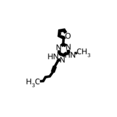 CCCCC#Cc1nc2c(NC)nc(-c3ccco3)nc2[nH]1